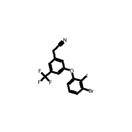 N#CCc1cc(Oc2cccc(Br)c2I)cc(C(F)(F)F)c1